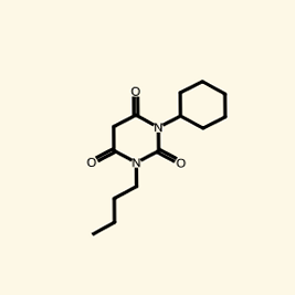 CCCCN1C(=O)CC(=O)N(C2CCCCC2)C1=O